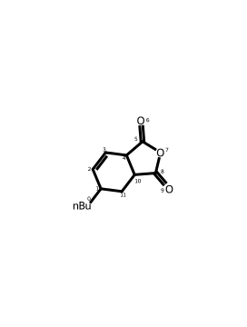 CCCCC1C=CC2C(=O)OC(=O)C2C1